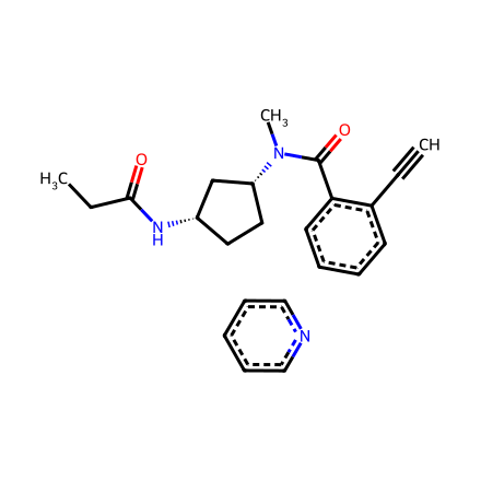 C#Cc1ccccc1C(=O)N(C)[C@@H]1CC[C@H](NC(=O)CC)C1.c1ccncc1